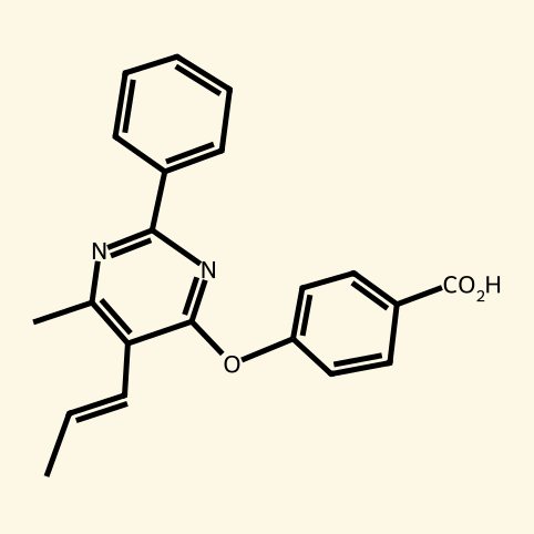 CC=Cc1c(C)nc(-c2ccccc2)nc1Oc1ccc(C(=O)O)cc1